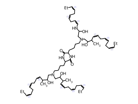 CC/C=C\C/C=C\C/C=C\NC(O)CN(CCCCC1NC(=O)C(CCCCN(CC(O)C(C)/C=C\C/C=C\C/C=C\CC)CC(O)C(C)/C=C\C/C=C\C/C=C\CC)NC1=O)CC(O)C(C)/C=C\C/C=C\C/C=C\CC